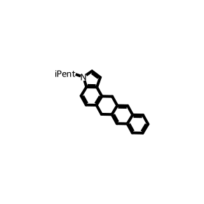 CCCC(C)n1ccc2c3c(ccc21)Cc1cc2ccccc2cc1C3